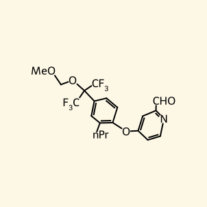 CCCc1cc(C(OCOC)(C(F)(F)F)C(F)(F)F)ccc1Oc1ccnc(C=O)c1